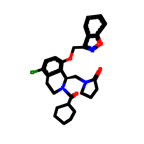 O=C1CCCN1C[C@@H]1c2c(OCc3noc4ccccc34)ccc(Cl)c2CCN1C(=O)C1CCCCC1